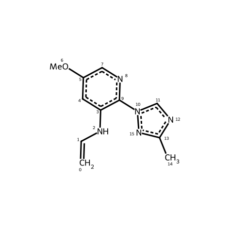 C=CNc1cc(OC)cnc1-n1cnc(C)n1